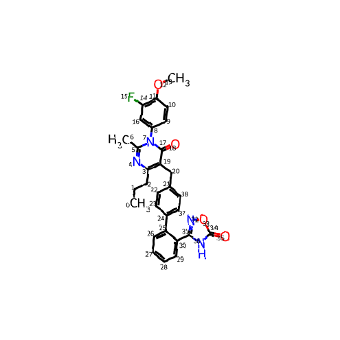 CCCc1nc(C)n(-c2ccc(OC)c(F)c2)c(=O)c1Cc1ccc(-c2ccccc2-c2noc(=O)[nH]2)cc1